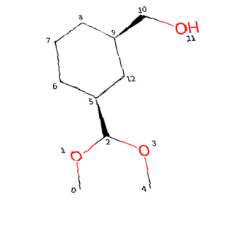 COC(OC)[C@H]1CCC[C@@H](CO)C1